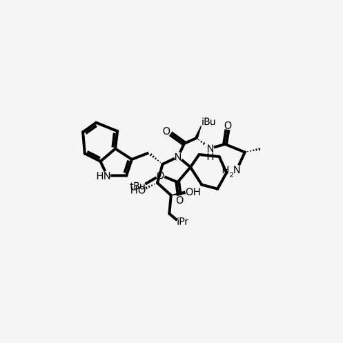 CC[C@H](C)[C@H](NC(=O)[C@H](C)N)C(=O)N([C@@H](Cc1c[nH]c2ccccc12)[C@@H](O)[C@@H](O)CC(C)C)C1(C(=O)OC(C)(C)C)CCCCC1